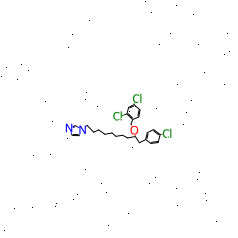 Clc1ccc(CC(CCCCCCCCn2ccnc2)OCc2ccc(Cl)cc2Cl)cc1